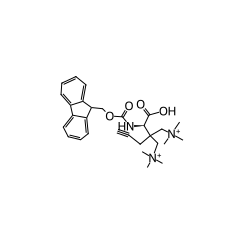 C#CCC(C[N+](C)(C)C)(C[N+](C)(C)C)[C@@H](NC(=O)OCC1c2ccccc2-c2ccccc21)C(=O)O